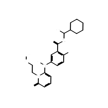 COCCn1c(N(C)c2ccc(Cl)c(C(=O)NC(O)C3CCCCC3)c2)cccc1=O